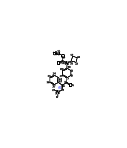 CN(C)/C=C(/C(=O)c1ccc(N(C(=O)OC(C)(C)C)C2CCC2)cc1)c1ccccc1